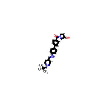 CC(C)(CN1CCC(CNc2ccc(-c3ccc(C(=O)N4CC[C@H](O)C4)cc3)cc2)CC1)C(F)(F)F